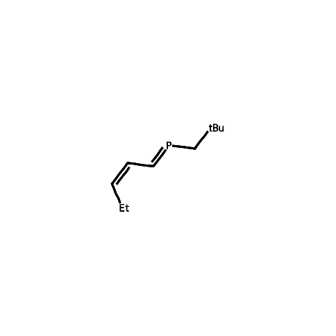 CC/C=C\C=P\CC(C)(C)C